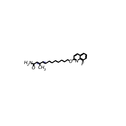 CC(/C=C/CCCCCCCOc1ccc2cccc(F)c2n1)=C\C(N)=O